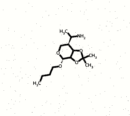 CCCCO[C@@H]1OC[C@@H](C(C)N)C2OC(C)(C)OC21